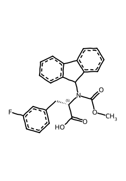 COC(=O)N(C1c2ccccc2-c2ccccc21)[C@@H](Cc1cccc(F)c1)C(=O)O